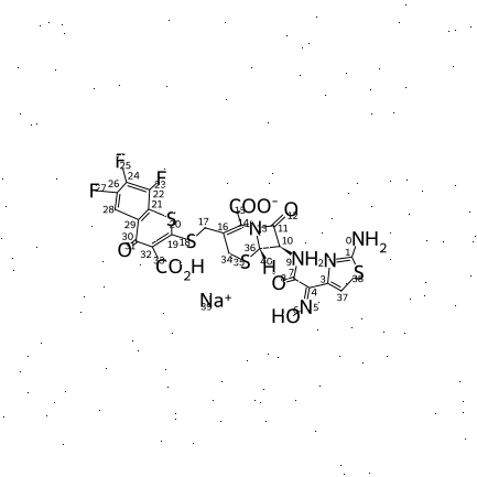 Nc1nc(/C(=N/O)C(=O)N[C@@H]2C(=O)N3C(C(=O)[O-])=C(CSc4sc5c(F)c(F)c(F)cc5c(=O)c4C(=O)O)CS[C@@H]23)cs1.[Na+]